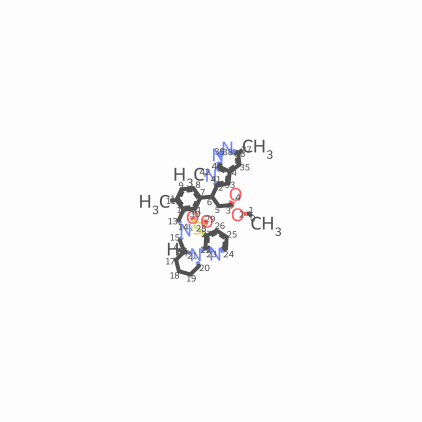 CCOC(=O)CC(c1ccc(C)c(CN2C[C@H]3CCCCN3c3ncccc3S2(=O)=O)c1)c1cc2cc(C)nnc2n1C